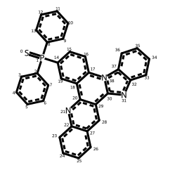 S=P(c1ccccc1)(c1ccccc1)c1ccc2c(c1)c1nc3ccccc3cc1c1nc3ccccc3n21